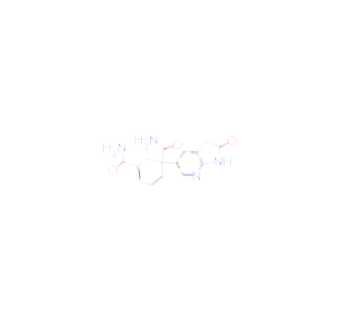 NC(=O)C1=CC=CC(C(N)=O)(c2cnc3c(c2)CC(=O)N3)C1